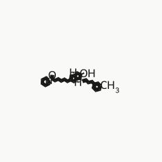 Cc1cccc(CC/C=C/[C@@H]2[C@H]3CC(CCCCCC(=O)N4CCCCC4)=C[C@H]3C[C@H]2O)c1